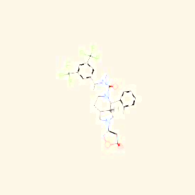 Cc1ccccc1C1[C@@H]2CN(C3=CC(=O)OC3)CC2CCN1C(=O)N(C)C(C)c1cc(C(F)(F)F)cc(C(F)(F)F)c1